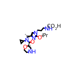 CC(C)Oc1nc([C@@H](C)N(C(=O)[C@H]2CNCCO2)C2CC2)cn1CCCNC(=O)O